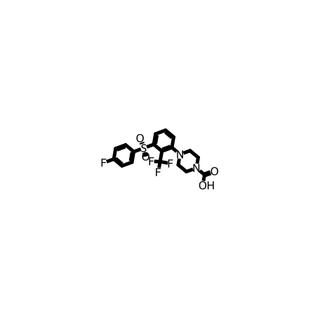 O=C(O)N1CCN(c2cccc(S(=O)(=O)c3ccc(F)cc3)c2C(F)(F)F)CC1